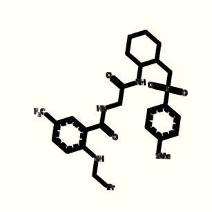 CSc1ccc(S(=O)(=O)CC2CCCCC2NC(=O)CNC(=O)c2cc(C(F)(F)F)ccc2NCC(C)C)cc1